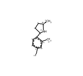 C[C@@H]1CCC(c2ccc(F)cc2C(F)(F)F)N1